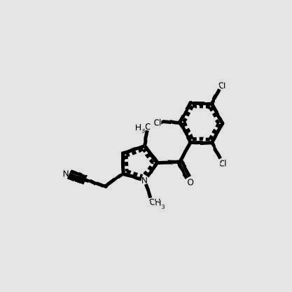 Cc1cc(CC#N)n(C)c1C(=O)c1c(Cl)cc(Cl)cc1Cl